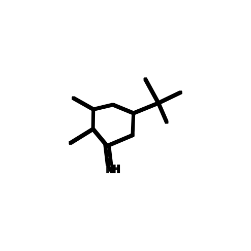 CC1CC(C(C)(C)C)CC(=N)C1C